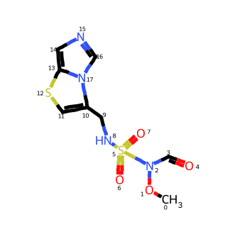 CON(C=O)S(=O)(=O)NCc1csc2cncn12